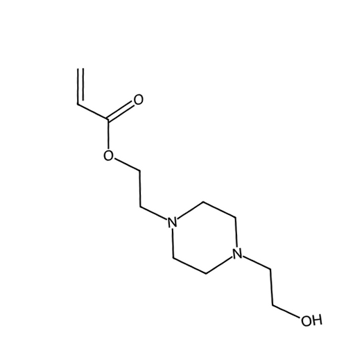 C=CC(=O)OCCN1CCN(CCO)CC1